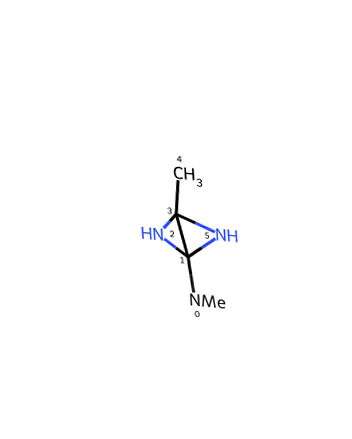 CNC12NC1(C)N2